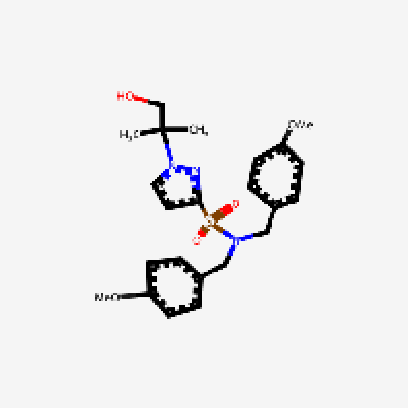 COc1ccc(CN(Cc2ccc(OC)cc2)S(=O)(=O)c2ccn(C(C)(C)CO)n2)cc1